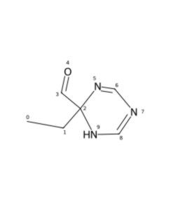 CCC1(C=O)N=CN=CN1